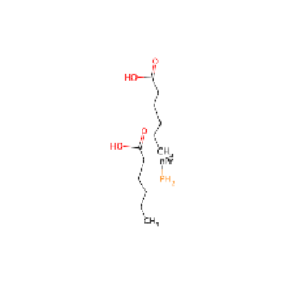 CCCCCC(=O)O.CCCCCC(=O)O.CCCP